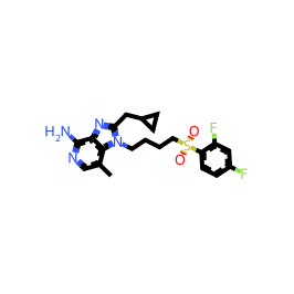 Cc1cnc(N)c2nc(CC3CC3)n(CCCCS(=O)(=O)c3ccc(F)cc3F)c12